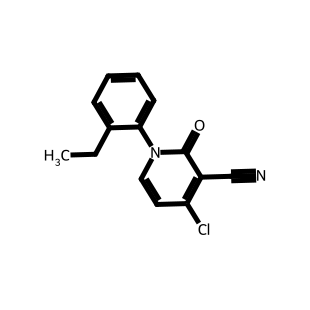 CCc1ccccc1-n1ccc(Cl)c(C#N)c1=O